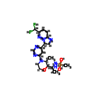 CC1[C@@H]([C@H](C)NS(C)(=O)=O)OCCN1c1cc(-c2cnc3ccc(C(F)F)nn23)ncn1